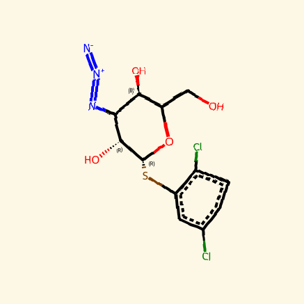 [N-]=[N+]=NC1[C@@H](O)C(CO)O[C@H](Sc2cc(Cl)ccc2Cl)[C@@H]1O